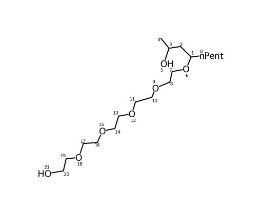 CCCCCC(CC(C)O)OCCOCCOCCOCCOCCO